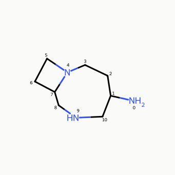 NC1CCN2CCC2CNC1